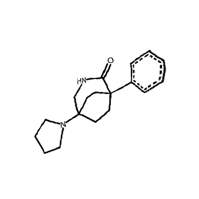 O=C1NCC2(N3CCCC3)CCC1(c1ccccc1)CC2